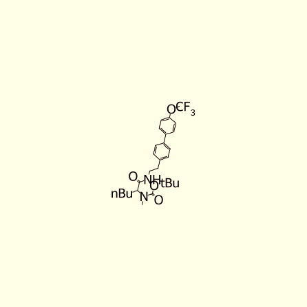 CCCCC(C(=O)NCCc1ccc(-c2ccc(OC(F)(F)F)cc2)cc1)N(C)C(=O)OC(C)(C)C